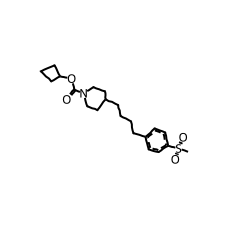 CS(=O)(=O)c1ccc(CCCCC2CCN(C(=O)OC3CCC3)CC2)cc1